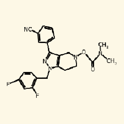 CN(C)C(=O)ON1CCc2c(c(-c3cccc(C#N)c3)nn2Cc2ccc(F)cc2F)C1